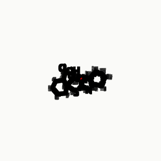 O=C(O)C1CCCCC1(Sc1nc2ccccc2[nH]1)C(=O)O